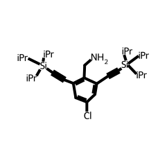 CC(C)[Si](C#Cc1cc(Cl)cc(C#C[Si](C(C)C)(C(C)C)C(C)C)c1CN)(C(C)C)C(C)C